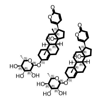 C[C@@H]1O[C@@H](O[C@@H]2C=C3CC[C@@H]4[C@H](CC[C@]5(C)[C@@H](c6ccc(=O)oc6)CC[C@]45O)[C@@]3(C)CC2)[C@H](O)[C@H](O)[C@H]1O.C[C@@H]1O[C@@H](O[C@@H]2C=C3CC[C@@H]4[C@H](CC[C@]5(C)[C@@H](c6ccc(=O)oc6)CC[C@]45O)[C@@]3(C)CC2)[C@H](O)[C@H](O)[C@H]1O